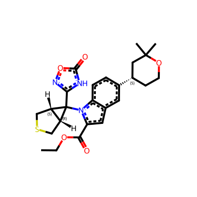 CCOC(=O)c1cc2cc([C@H]3CCOC(C)(C)C3)ccc2n1C1(c2noc(=O)[nH]2)[C@@H]2CSC[C@@H]21